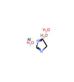 C1=NC=NC1.O.O.O.[Al]